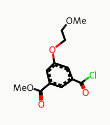 COCCOc1cc(C(=O)Cl)cc(C(=O)OC)c1